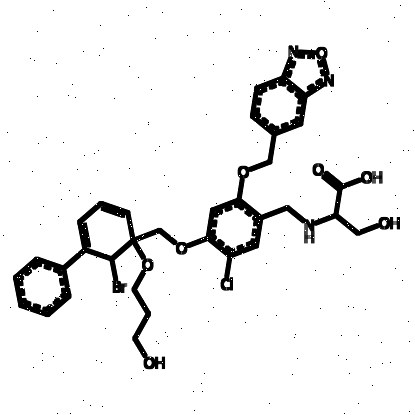 O=C(O)C(CO)NCc1cc(Cl)c(OCC2(OCCCO)C=CC=C(c3ccccc3)C2Br)cc1OCc1ccc2nonc2c1